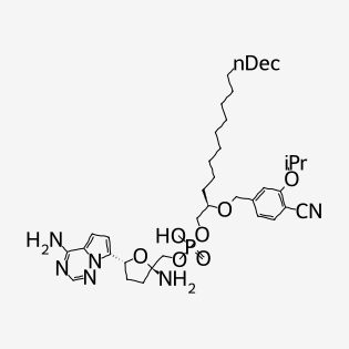 CCCCCCCCCCCCCCCCCCC[C@H](COP(=O)(O)OC[C@]1(N)CC[C@H](c2ccc3c(N)ncnn23)O1)OCc1ccc(C#N)c(OC(C)C)c1